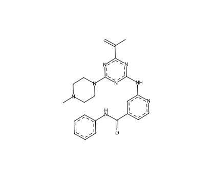 C=C(C)c1nc(Nc2cc(C(=O)Nc3ccccc3)ccn2)nc(N2CCN(C)CC2)n1